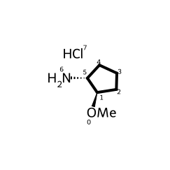 CO[C@@H]1CCC[C@H]1N.Cl